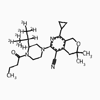 [2H]C([2H])([2H])C([2H])(C([2H])([2H])[2H])[C@@]1([2H])CN(c2nc(C3CC3)c3c(c2C#N)CC(C)(C)OC3)CCN1C(=O)CCC